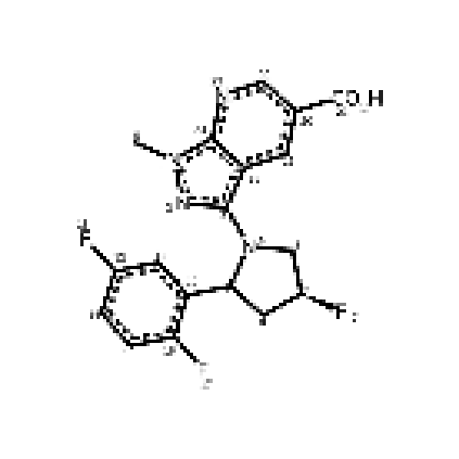 Cn1nc(N2C[C@@H](F)CC2c2cc(F)ccc2F)c2cc(C(=O)O)cnc21